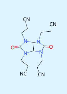 N#CCCN1C(=O)N(CCC#N)C2C1N(CCC#N)C(=O)N2CCC#N